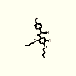 CCCCOc1cc(OCCCC)c(C(=O)C(C#N)c2ccc(OC)cc2)cc1Cl